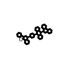 c1ccc2c(c1)cc(-c1c3ccccc3c(-c3ccc(-c4cc5c6ccccc6oc5c5ccccc45)cc3)c3ccccc13)c1ccccc12